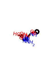 Nc1nc(C#CCNC(=O)OC2/C=C/CCCCC2)nc2c1ncn2[C@@H]1O[C@H](CO)C(O)[C@@H]1O